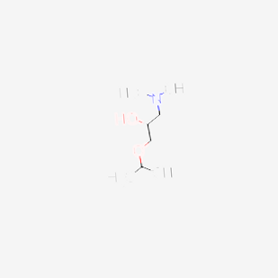 CC(C)OC[C@@H](O)CN(C)C